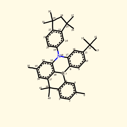 Cc1ccc2c(c1)B1c3ccc(C(C)(C)C)cc3N(c3ccc4c(c3)C(C)(C)CC4(C)C)c3cc(C)cc(c31)C2(C)C